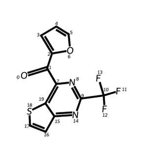 O=C(c1ccco1)c1nc(C(F)(F)F)nc2ccsc12